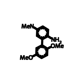 CNc1ccc(N)c(-c2cc(OC)ccc2OC)c1